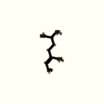 CCC/C=C(\C)CCC(C)O